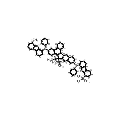 Cc1cccc2c1oc1c(N(c3ccccc3)c3ccc4c5c(c6ccccc6c4c3)-c3cc4ccc(N(c6ccccc6)c6cccc7c6oc6c([Si](C)(C)C)cccc67)cc4cc3C5(C(C)(C)C)C(C)(C)C)cccc12